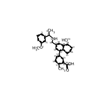 COc1cccc(C(C)NCc2cc(-c3ccc(C)c(C(=O)O)c3)c3ccccc3c2)c1.Cl